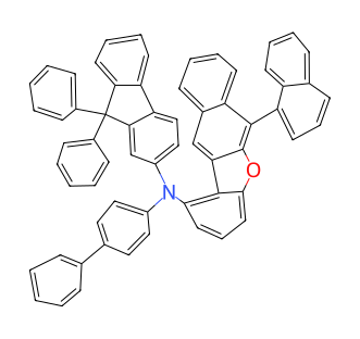 c1ccc(-c2ccc(N(c3ccc4c(c3)C(c3ccccc3)(c3ccccc3)c3ccccc3-4)c3cccc4oc5c(-c6cccc7ccccc67)c6ccccc6cc5c34)cc2)cc1